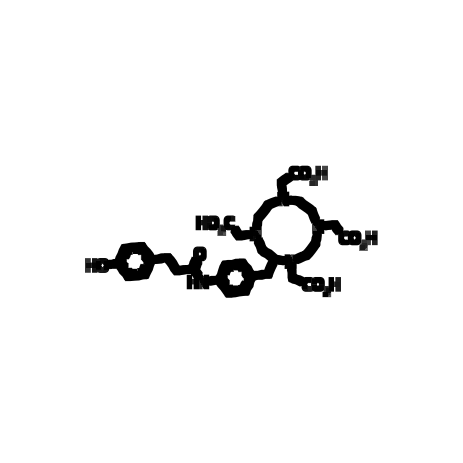 O=C(O)CN1CCN(CC(=O)O)CCN(CC(=O)O)C(Cc2ccc(NC(=O)CCc3ccc(O)cc3)cc2)CN(CC(=O)O)CC1